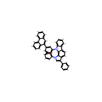 c1ccc(-c2cn(-c3ccccc3)c3c2ccc2c4ccccc4n(-c4cccc(-c5cc6ccccc6c6ccccc56)c4)c23)cc1